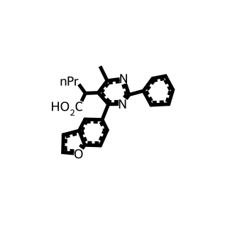 CCCC(C(=O)O)c1c(C)nc(-c2ccccc2)nc1-c1ccc2occc2c1